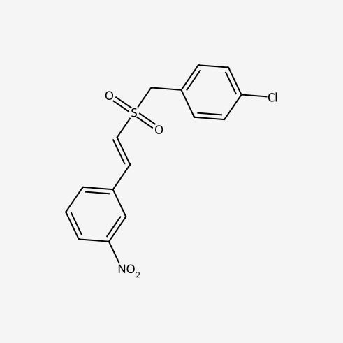 O=[N+]([O-])c1cccc(/C=C/S(=O)(=O)Cc2ccc(Cl)cc2)c1